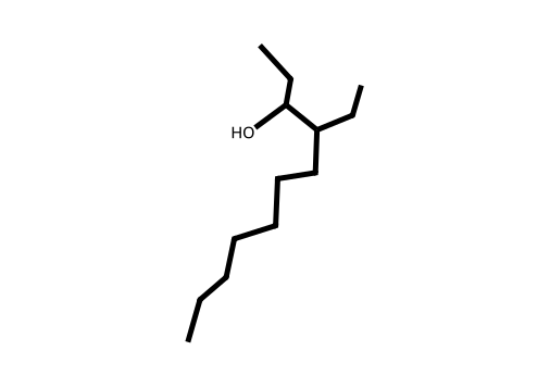 CCCCCCCC(CC)C(O)CC